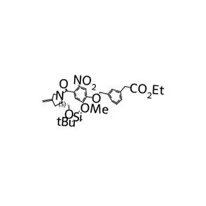 C=C1C[C@@H](CO[Si](C)(C)C(C)(C)C)N(C(=O)c2cc(OC)c(OCc3cccc(CC(=O)OCC)c3)cc2[N+](=O)[O-])C1